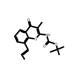 CC=Cc1cccc2c(=O)c(C)c(NC(=O)OC(C)(C)C)oc12